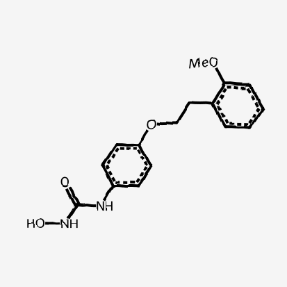 COc1ccccc1CCOc1ccc(NC(=O)NO)cc1